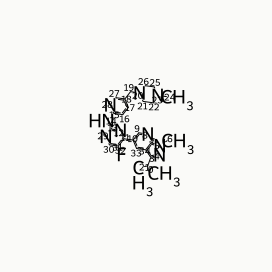 CC(C)c1nn(C)c2ncc(-c3nc(Nc4ccc(CN5CCN(C)CC5)cn4)ncc3F)cc12